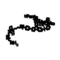 CCCCCOC(C)(CC)CCCC1(CCCC(C)(CC)OCC(C)(CC)OC)c2cc(-c3ccc(C(C)(C)OCCCCNC(=O)C(C)(C)CCOC(C)(C)CCN)cc3)ccc2-c2ccc(C(C)(C)c3ccccc3)cc21